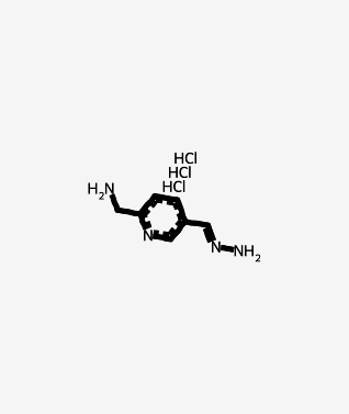 Cl.Cl.Cl.NCc1ccc(C=NN)cn1